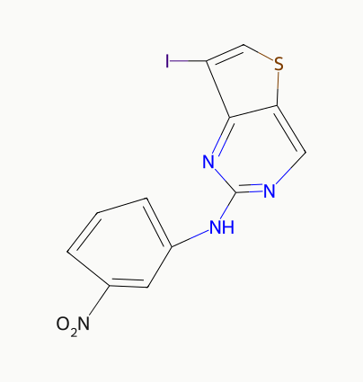 O=[N+]([O-])c1cccc(Nc2ncc3scc(I)c3n2)c1